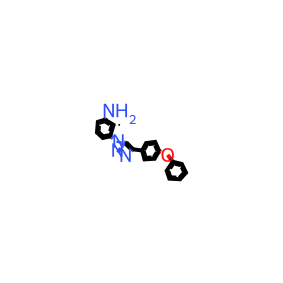 Nc1[c]c(-n2cc(-c3ccc(Oc4ccccc4)cc3)nn2)ccc1